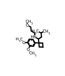 COCCCNC(CC(C)C)C1(c2ccc(OC)c(OC)c2)CCC1